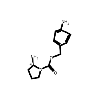 C[C@@H]1CCCN1C(=O)OCc1ccc(N)cc1